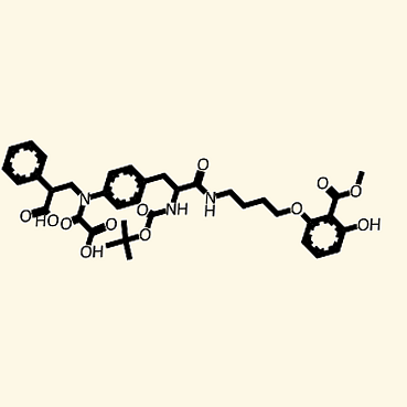 COC(=O)c1c(O)cccc1OCCCCNC(=O)C(Cc1ccc(N(CC(C(=O)O)c2ccccc2)C(=O)C(=O)O)cc1)NC(=O)OC(C)(C)C